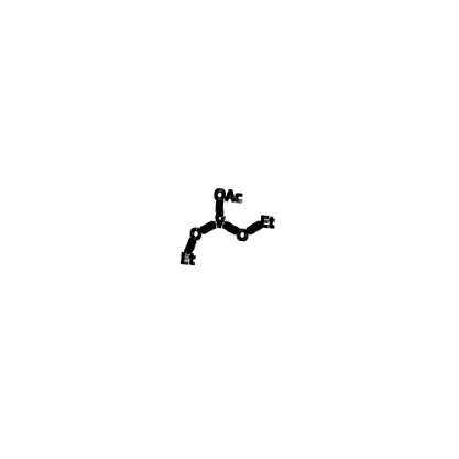 CC[O][V]([O]CC)[O]C(C)=O